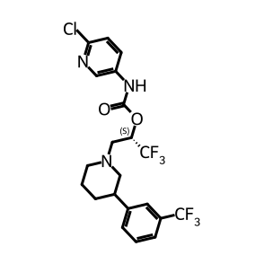 O=C(Nc1ccc(Cl)nc1)O[C@@H](CN1CCCC(c2cccc(C(F)(F)F)c2)C1)C(F)(F)F